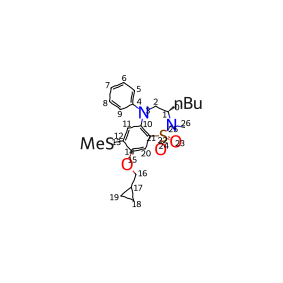 CCCC[C@@H]1CN(c2ccccc2)c2cc(SC)c(OCC3CC3)cc2S(=O)(=O)N1C